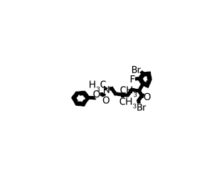 CN(CCC(C)(C)CCC(C(=O)CBr)c1cccc(Br)c1F)C(=O)OCc1ccccc1